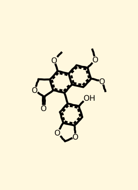 COc1cc2c(OC)c3c(c(-c4cc5c(cc4O)OCO5)c2cc1OC)C(=O)OC3